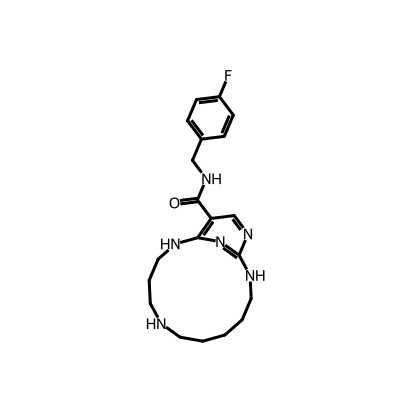 O=C(NCc1ccc(F)cc1)c1cnc2nc1NCCCNCCCCCN2